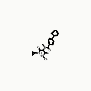 CN(C(=O)c1ccc(-c2ccccc2)cc1)C(C(=O)NO)C(=O)NC1CC1